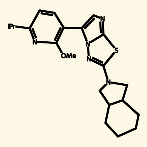 COc1nc(C(C)C)ccc1-c1cnc2sc(N3CC4CCCCC4C3)nn12